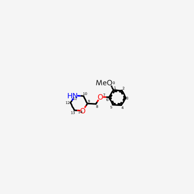 COc1ccccc1OCC1CNCCO1